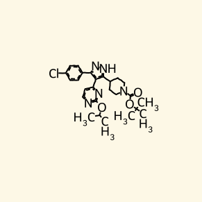 CC(C)Oc1nccc(-c2c(-c3ccc(Cl)cc3)n[nH]c2C2CCN(C(=O)OC(C)(C)C)CC2)n1